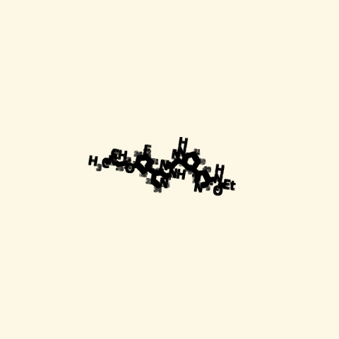 CCC(=O)Nc1cncc(-c2ccc3[nH]nc(-c4nc5c(-c6cc(F)cc(OCCN(C)C)c6)ccnc5[nH]4)c3c2)c1